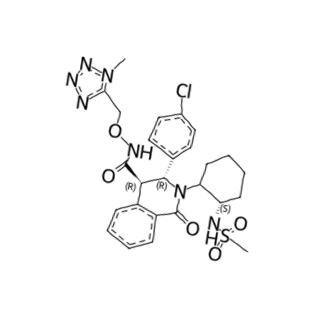 Cn1nnnc1CONC(=O)[C@@H]1c2ccccc2C(=O)N(C2CCCC[C@@H]2NS(C)(=O)=O)[C@H]1c1ccc(Cl)cc1